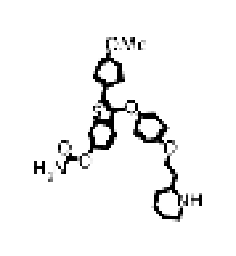 COc1ccc(-c2sc3cc(OC(N)=O)ccc3c2Oc2ccc(OCCC3CCCCN3)cc2)cc1